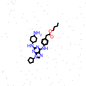 CCCCOC(=O)Cc1ccc(Nc2nc(NC3CCC(N)CC3)nc3c2ncn3C2CCCC2)cc1